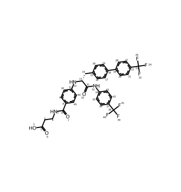 O=C(O)CCNC(=O)c1ccc(N[C@H](Cc2ccc(-c3ccc(C(F)(F)F)cc3)cc2)C(=O)Nc2ccc(C(F)(F)F)cc2)cc1